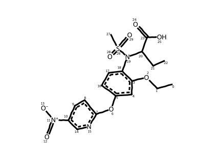 CCOc1cc(Oc2ccc([N+](=O)[O-])cn2)ccc1N(C(CC)C(=O)O)S(C)(=O)=O